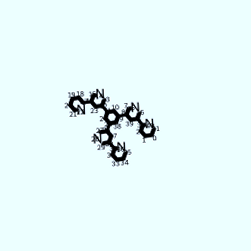 c1ccc(-c2cncc(-c3cc(-c4cncc(-c5ccccn5)c4)cc(-c4cncc(-c5ccccn5)c4)c3)c2)nc1